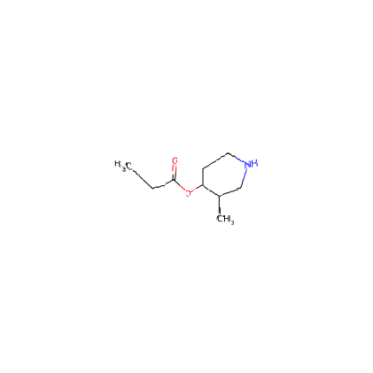 CCC(=O)OC1CCNCC1C